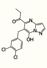 CCC(=O)c1nc2ccnn2c(O)c1Cc1ccc(Cl)c(Cl)c1